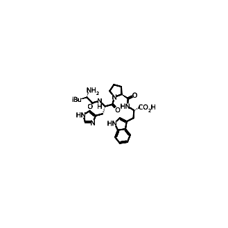 CC[C@H](C)[C@H](N)C(=O)N[C@@H](Cc1c[nH]cn1)C(=O)N1CCC[C@H]1C(=O)N[C@@H](Cc1c[nH]c2ccccc12)C(=O)O